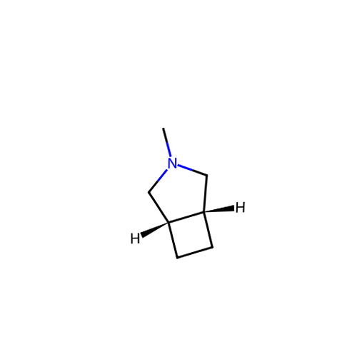 CN1C[C@H]2CC[C@H]2C1